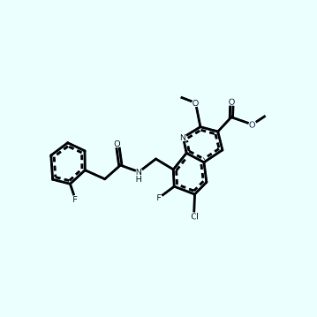 COC(=O)c1cc2cc(Cl)c(F)c(CNC(=O)Cc3ccccc3F)c2nc1OC